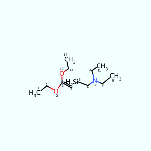 CCOC(=C[SiH2]CN(CC)CC)OCC